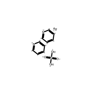 O=S(=O)(O)O.[Ag].c1ccncc1.c1ccncc1